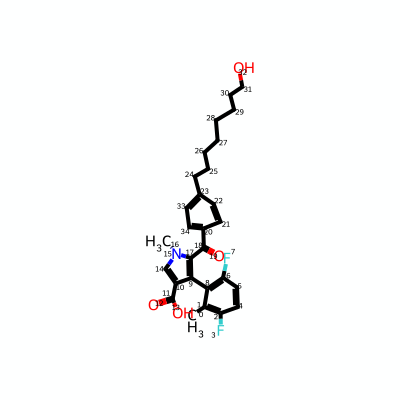 Cc1c(F)ccc(F)c1-c1c(C(=O)O)cn(C)c1C(=O)c1ccc(CCCCCCCCO)cc1